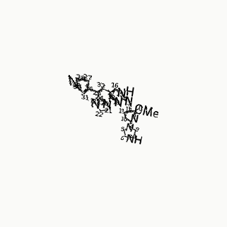 COc1nc(N2CCNCC2)ccc1Nc1ncc2c(n1)N1CCN=C1C(c1ccncc1)=C2